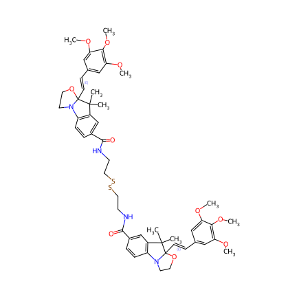 COc1cc(/C=C/C23OCCN2c2ccc(C(=O)NCCSSCCNC(=O)c4ccc5c(c4)C(C)(C)C4(/C=C/c6cc(OC)c(OC)c(OC)c6)OCCN54)cc2C3(C)C)cc(OC)c1OC